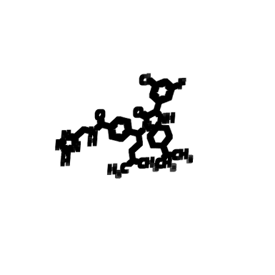 CC(C)CCC(c1ccc(C(=O)NCc2nn[nH]n2)cc1)N1C(=O)C(c2cc(F)cc(Cl)c2)NC12CCC(C(C)C)CC2